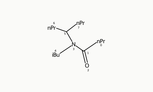 CCCC(=O)N(C(C)CC)C(CCC)CCC